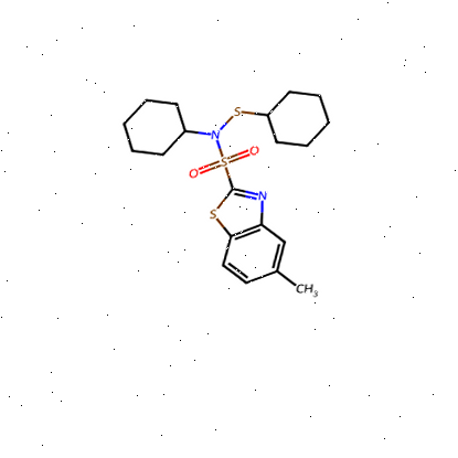 Cc1ccc2sc(S(=O)(=O)N(SC3CCCCC3)C3CCCCC3)nc2c1